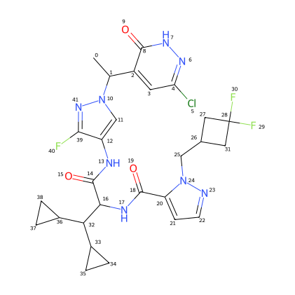 CC(c1cc(Cl)n[nH]c1=O)n1cc(NC(=O)C(NC(=O)c2ccnn2CC2CC(F)(F)C2)C(C2CC2)C2CC2)c(F)n1